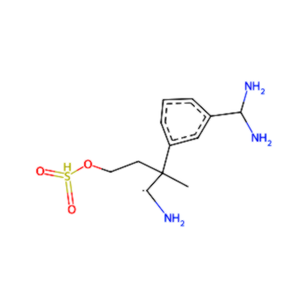 CC([CH]N)(CCO[SH](=O)=O)c1cccc(C(N)N)c1